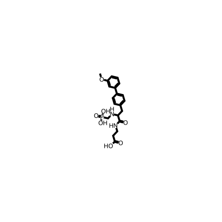 COc1cccc(-c2ccc(CC(NCP(=O)(O)O)C(=O)NCCC(=O)O)cc2)c1